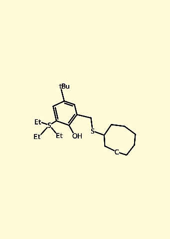 CCS(CC)(CC)c1cc(C(C)(C)C)cc(CSC2CCCCCCC2)c1O